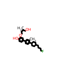 C=C(CO)CCOc1cc(-c2ccc(C3CCC(CCCCF)CC3)c(C)c2)ccc1O